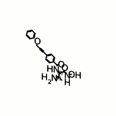 C[C@@H](N)[C@H](NC(=O)c1ccc(C#CCOc2ccccc2)cc1)C(=O)NO